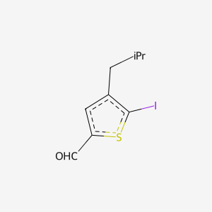 CC(C)Cc1cc(C=O)sc1I